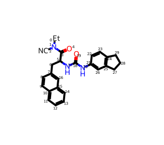 CCN(C#N)C(=O)C(Cc1ccc2ccccc2c1)NC(=O)Nc1ccc2c(c1)CCC2